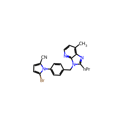 CCCc1nc2c(C)ccnc2n1Cc1ccc(-n2c(Br)ccc2C#N)cc1